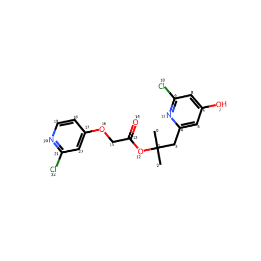 CC(C)(Cc1cc(O)cc(Cl)n1)OC(=O)COc1ccnc(Cl)c1